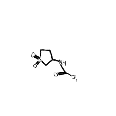 O=C(NC1CCS(=O)(=O)C1)C(F)(F)F